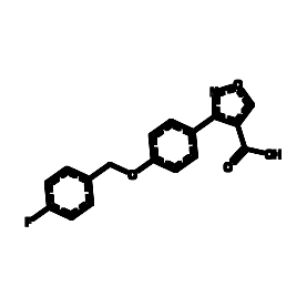 O=C(O)c1conc1-c1ccc(OCc2ccc(F)cc2)cc1